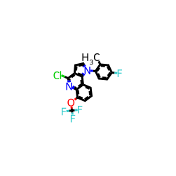 Cc1cc(F)ccc1-n1ccc2c(Cl)nc3c(OC(F)(F)F)cccc3c21